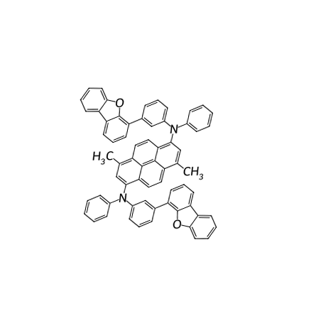 Cc1cc(N(c2ccccc2)c2cccc(-c3cccc4c3oc3ccccc34)c2)c2ccc3c(C)cc(N(c4ccccc4)c4cccc(-c5cccc6c5oc5ccccc56)c4)c4ccc1c2c34